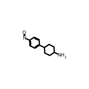 NC1CCC(c2ccc(N=O)cc2)CC1